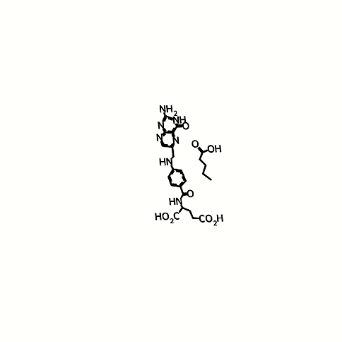 CCCCC(=O)O.Nc1nc2ncc(CNc3ccc(C(=O)NC(CCC(=O)O)C(=O)O)cc3)nc2c(=O)[nH]1